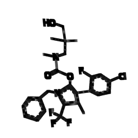 Cc1c(-c2ccc(Cl)cc2F)c(OC(=O)N(C)CC(C)(C)CO)n(Cc2ccccc2)c1C(F)(F)F